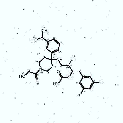 CC(=O)N[C@@H](Cc1cc(F)cc(F)c1)[C@H](O)CNC1(c2cccc(C(C)C)c2)CCN(C(=O)CO)CC1